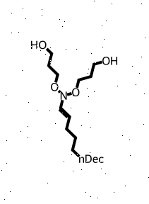 CCCCCCCCCCCCCC=CN(OCCCO)OCCCO